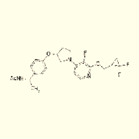 CC(=O)N[C@@H](C)c1ccc(O[C@@H]2CCN(c3ccnc(OCC4CC4(F)F)c3F)C2)cc1